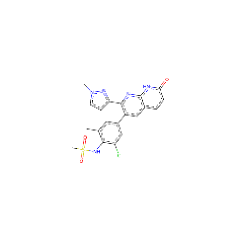 Cc1cc(-c2cc3ccc(=O)[nH]c3nc2-c2ccn(C)n2)cc(Cl)c1NS(C)(=O)=O